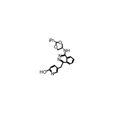 CC(C)[C@H]1OC[C@H](Nc2nnc(Cc3ccc(O)nc3)c3ccccc23)CO1